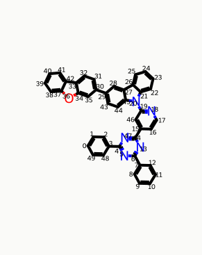 c1ccc(-c2nc(-c3ccccc3)nc(-c3ccnc(-n4c5ccccc5c5cc(-c6ccc7c(c6)oc6ccccc67)ccc54)c3)n2)cc1